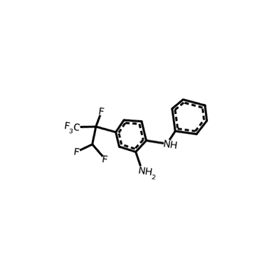 Nc1cc(C(F)(C(F)F)C(F)(F)F)ccc1Nc1ccccc1